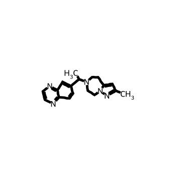 Cc1cc2n(n1)CCN(C(C)c1ccc3nccnc3c1)CC2